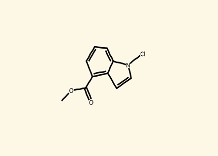 COC(=O)c1cccc2c1ccn2Cl